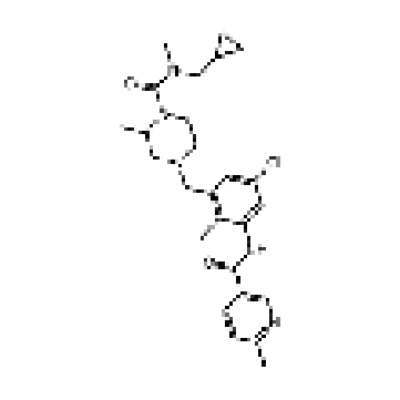 Cc1ccc(C(=O)Nc2cc(Cl)cc(CN3CCN(C(=O)N(C)CC4CC4)C(C)C3)c2C)cn1